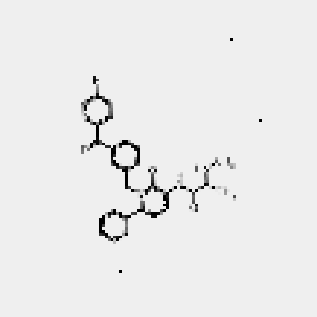 CN[C@@H](C)C(=O)Nc1ccc(-c2ccccc2)n(Cc2cccc(C(=O)c3ccc(F)cc3)c2)c1=O